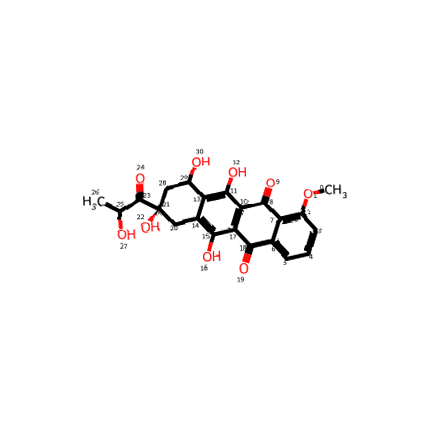 COc1cccc2c1C(=O)c1c(O)c3c(c(O)c1C2=O)C[C@](O)(C(=O)C(C)O)CC3O